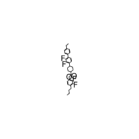 CCCCc1ccc(OC(=O)C2CCC(c3ccc(-c4ccc(CC)cc4)c(F)c3F)CC2)c(F)c1F